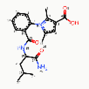 Cc1cc(C(=O)O)c(C)n1-c1ccccc1C(=O)NC(CC(C)C)C(N)=O